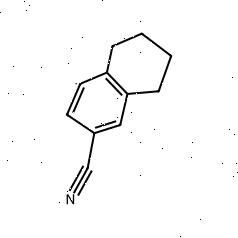 N#Cc1c[c]c2c(c1)CCCC2